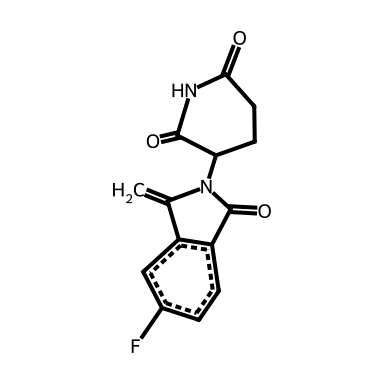 C=C1c2cc(F)ccc2C(=O)N1C1CCC(=O)NC1=O